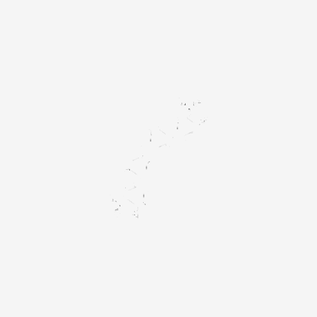 O=[N+]([O-])c1cc(-c2ccc(Cc3ccc(-c4ccc(Br)c([N+](=O)[O-])c4)cc3)cc2)ccc1Br